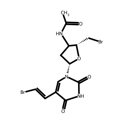 CC(=O)NC1C[C@@H](n2cc(/C=C/Br)c(=O)[nH]c2=O)O[C@H]1CBr